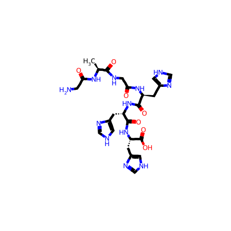 C[C@H](NC(=O)CN)C(=O)NCC(=O)N[C@@H](Cc1c[nH]cn1)C(=O)N[C@@H](Cc1c[nH]cn1)C(=O)N[C@@H](Cc1c[nH]cn1)C(=O)O